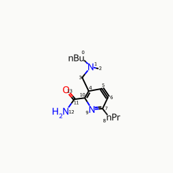 CCCCN(C)Cc1c#cc(CCC)nc1C(N)=O